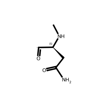 CN[C@H]([C]=O)CC(N)=O